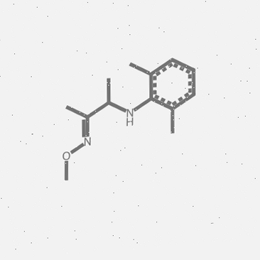 CON=C(C)C(C)Nc1c(C)cccc1C